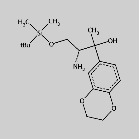 CC(O)(c1ccc2c(c1)OCCO2)[C@H](N)CO[Si](C)(C)C(C)(C)C